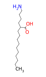 CCCCCCCCCCC(CCCCN)C(=O)O